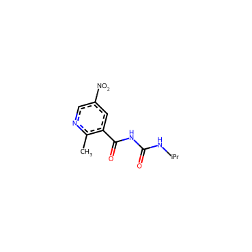 Cc1ncc([N+](=O)[O-])cc1C(=O)NC(=O)NC(C)C